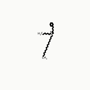 CCCCCCCCCCCCCCCCCn1cc(CCCc2ccccc2)nc1CCCCCC